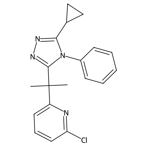 CC(C)(c1cccc(Cl)n1)c1nnc(C2CC2)n1-c1ccccc1